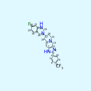 Cc1[nH]c(-c2ccc(C(F)(F)F)cc2)nc1CN1CCC(N2CNc3cc(F)ccc3C2)CC1